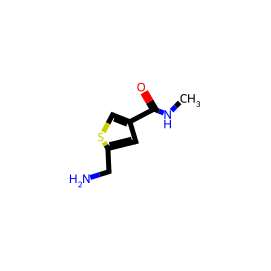 CNC(=O)c1csc(CN)c1